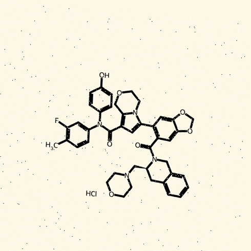 Cc1ccc(N(C(=O)c2cc(-c3cc4c(cc3C(=O)N3Cc5ccccc5C[C@H]3CN3CCOCC3)OCO4)n3c2COCC3)c2ccc(O)cc2)cc1F.Cl